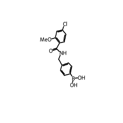 COc1cc(Cl)ccc1C(=O)NCc1ccc(B(O)O)cc1